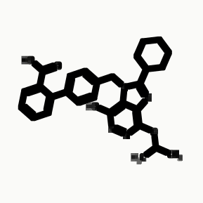 CC(C)Oc1nnc(O)c2c1nc(C1CCCCC1)n2Cc1ccc(-c2ccccc2C(=O)O)cc1